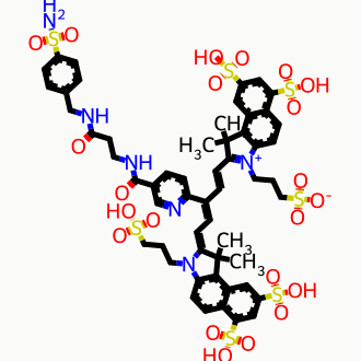 CC1(C)C(/C=C/C(=C/C=C2/N(CCCS(=O)(=O)O)c3ccc4c(S(=O)(=O)O)cc(S(=O)(=O)O)cc4c3C2(C)C)c2ccc(C(=O)NCCC(=O)NCc3ccc(S(N)(=O)=O)cc3)cn2)=[N+](CCCS(=O)(=O)[O-])c2ccc3c(S(=O)(=O)O)cc(S(=O)(=O)O)cc3c21